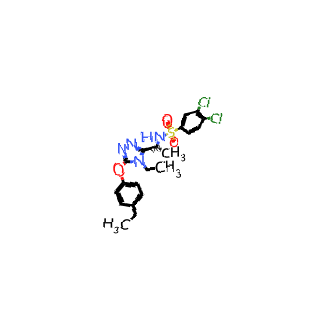 CCc1ccc(Oc2nnc([C@@H](C)NS(=O)(=O)c3ccc(Cl)c(Cl)c3)n2CC)cc1